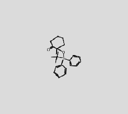 CC1(O[Si](c2ccccc2)(c2ccccc2)C(C)(C)C)CCCCC1=O